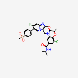 Cc1nc2cc(F)c(-c3ccc(S(C)(=O)=O)cc3)cn2c1CN1C(=O)[C@@H](C)Oc2c(Cl)cc(C(=O)NC(C)C)cc21